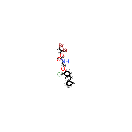 O=C(NCCOc1ccc(Cc2ccccc2)cc1Cl)OCC(Br)CBr